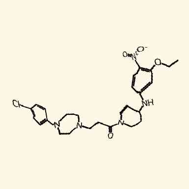 CCOc1cc(NC2CCN(C(=O)CCN3CCN(c4ccc(Cl)cc4)CC3)CC2)ccc1[N+](=O)[O-]